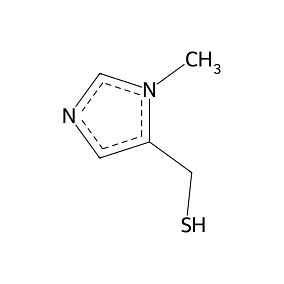 Cn1cncc1CS